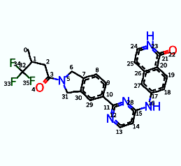 CC(CC(=O)N1Cc2ccc(-c3nccc(Nc4ccc5c(=O)[nH]ccc5c4)n3)cc2C1)C(F)(F)F